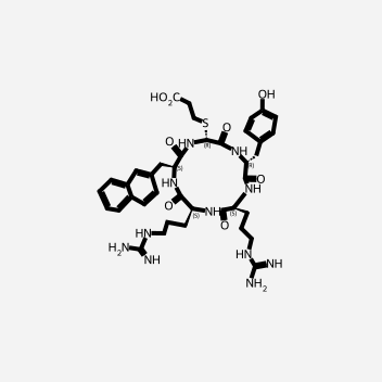 N=C(N)NCCC[C@@H]1NC(=O)[C@H](CCCNC(=N)N)NC(=O)[C@@H](Cc2ccc(O)cc2)NC(=O)[C@@H](SCCC(=O)O)NC(=O)[C@H](Cc2ccc3ccccc3c2)NC1=O